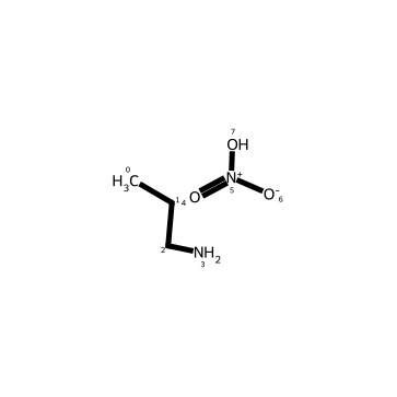 CCCN.O=[N+]([O-])O